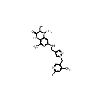 Cc1cc(F)ncc1Cn1cc(CNc2cc3c(c(C)n2)NC(=O)C(C(C)C)N3C)cn1